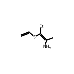 C=CS/C(CC)=C(/C)N